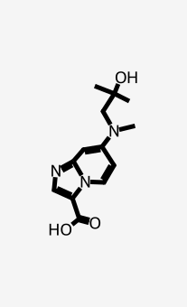 CN(CC(C)(C)O)c1ccn2c(C(=O)O)cnc2c1